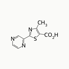 Cc1nc(-c2cnccn2)sc1C(=O)O